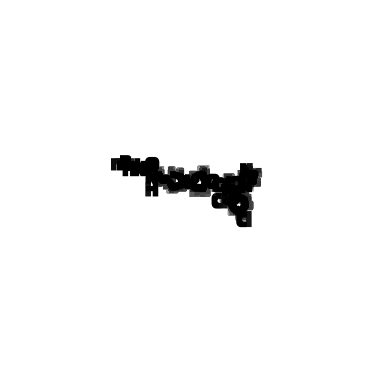 CCCCNC(=O)NCCN1CCN(c2ccc(OCC3COC(Cn4ccnc4)(c4ccc(Cl)cc4Cl)O3)cc2)CC1